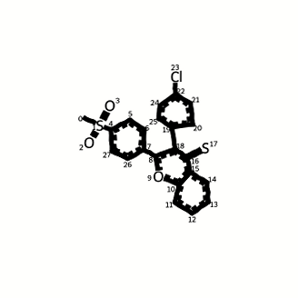 CS(=O)(=O)c1ccc(-c2oc3ccccc3c(=S)c2-c2ccc(Cl)cc2)cc1